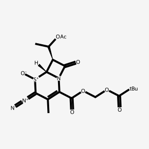 CC(=O)OC(C)[C@H]1C(=O)N2C(C(=O)OCOC(=O)C(C)(C)C)=C(C)C(=[N+]=[N-])[S+]([O-])[C@H]12